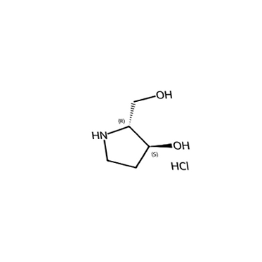 Cl.OC[C@H]1NCC[C@@H]1O